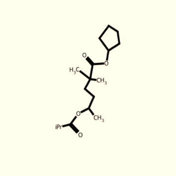 CC(CCC(C)(C)C(=O)OC1CCCC1)OC(=O)C(C)C